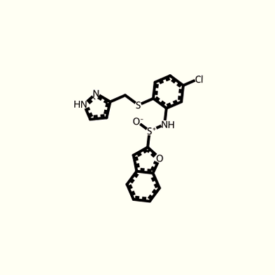 [O-][S+](Nc1cc(Cl)ccc1SCc1cc[nH]n1)c1cc2ccccc2o1